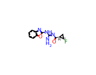 N/C(=N\C(=O)[C@H]1C[C@@H]1F)Nc1nc2ccccc2o1